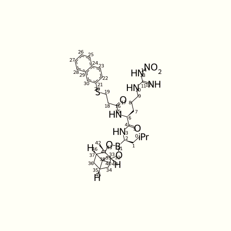 CC(C)C[C@H](NC(=O)[C@H](CCCNC(=N)N[N+](=O)[O-])NC(=O)CCSc1ccc2ccccc2c1)B1O[C@@H]2C[C@@H]3C[C@@H](C3(C)C)[C@]2(C)O1